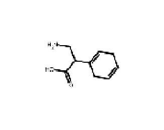 NCC(C(=O)O)C1=CCC=CC1